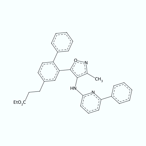 CCOC(=O)CCc1ccc(-c2ccccc2)c(-c2onc(C)c2Nc2cccc(-c3ccccc3)n2)c1